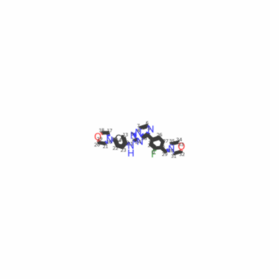 FC1=CC(c2nccn3nc(Nc4ccc(N5CCOCC5)cc4)nc23)=CCC1CN1CCOCC1